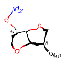 CO[C@@H]1COC2C1OC[C@@H]2ON